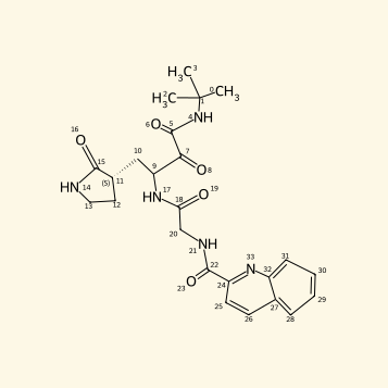 CC(C)(C)NC(=O)C(=O)C(C[C@@H]1CCNC1=O)NC(=O)CNC(=O)c1ccc2ccccc2n1